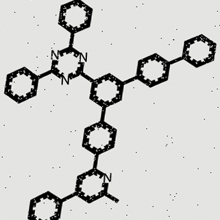 Cc1cc(-c2ccccc2)cc(-c2ccc(-c3cc(-c4ccc(-c5ccccc5)cc4)cc(-c4nc(-c5ccccc5)nc(-c5ccccc5)n4)c3)cc2)n1